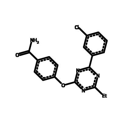 CCc1nc(Oc2ccc(C(N)=O)cc2)nc(-c2cccc(Cl)c2)n1